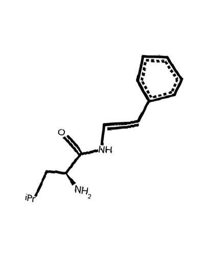 CC(C)C[C@H](N)C(=O)NC=Cc1ccccc1